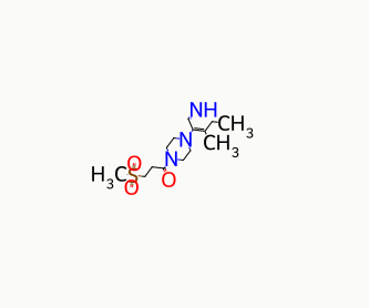 CC/C(C)=C(\C=N)N1CCN(C(=O)CCS(C)(=O)=O)CC1